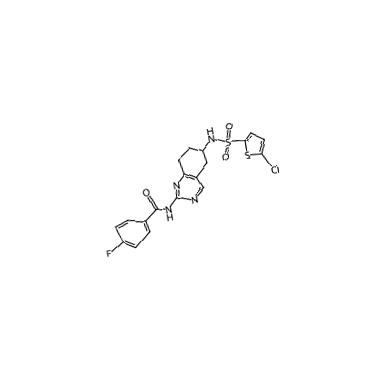 O=C(Nc1ncc2c(n1)CCC(NS(=O)(=O)c1ccc(Cl)s1)C2)c1ccc(F)cc1